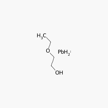 CCOCCO.[PbH2]